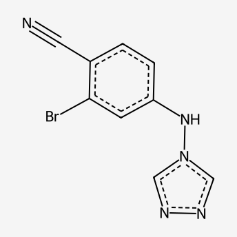 N#Cc1ccc(Nn2cnnc2)cc1Br